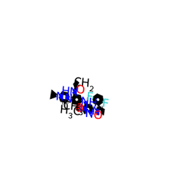 C=CC(=O)Nc1cc(Nc2cc(N3OCC[C@@H]3c3cc(F)ccc3F)ncn2)c(OC)cc1N1CCN(C2CC2)C[C@H]1C